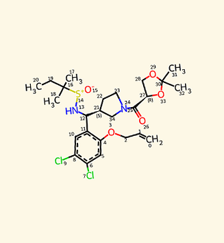 C=CCOc1cc(Cl)c(Cl)cc1C(N[S+]([O-])C(C)(C)CC)[C@H]1CCN(C(=O)[C@H]2COC(C)(C)O2)C1